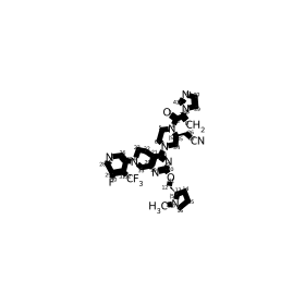 C=C(C(=O)N1CCN(c2nc(OC[C@@H]3CCCN3C)nc3c2CCN(c2cncc(F)c2C(F)(F)F)C3)C[C@@H]1CC#N)n1ccnc1